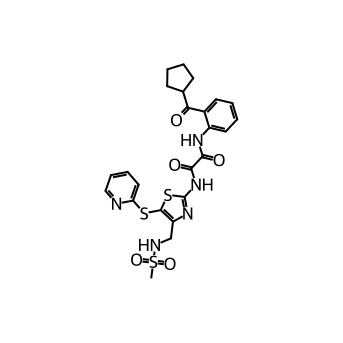 CS(=O)(=O)NCc1nc(NC(=O)C(=O)Nc2ccccc2C(=O)C2CCCC2)sc1Sc1ccccn1